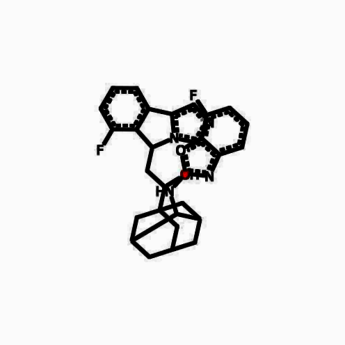 OC(CC1c2c(F)cccc2-c2cncn21)C12CC3CC(C1)C(Nc1nc4cccc(F)c4o1)C(C3)C2